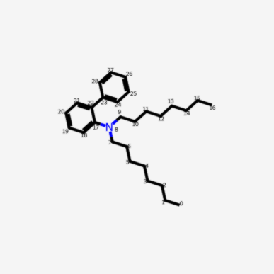 CCCCCCCCN(CCCCCCCC)c1ccccc1-c1ccccc1